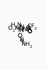 Nc1nc(NCc2ccccc2OC(F)(F)F)nc(C[C@H]2CC[C@H](N3CC(N)C3)CC2)c1[N+](=O)[O-]